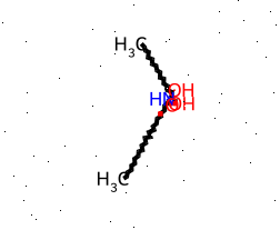 CCCCCCCCCCCCC/C=C/[C@@H](O)[C@H](CO)NC(=O)CCCCCCCCCCCCCCCCCCCCCCC